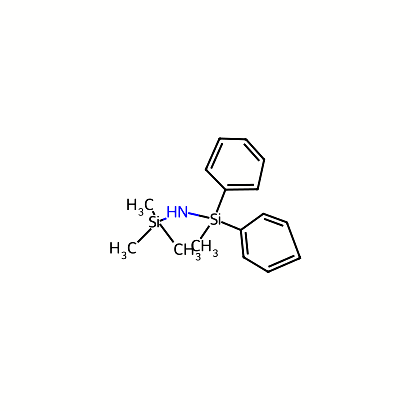 C[Si](C)(C)N[Si](C)(c1ccccc1)c1ccccc1